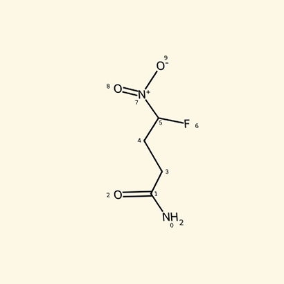 NC(=O)CCC(F)[N+](=O)[O-]